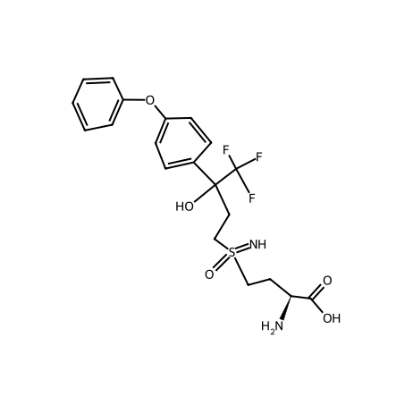 N=S(=O)(CC[C@H](N)C(=O)O)CCC(O)(c1ccc(Oc2ccccc2)cc1)C(F)(F)F